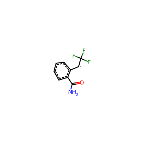 NC(=O)c1ccccc1[CH]C(F)(F)F